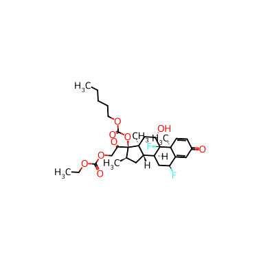 CCCCCOC(=O)O[C@]1(C(=O)COC(=O)OCC)[C@H](C)C[C@H]2[C@@H]3C[C@H](F)C4=CC(=O)C=C[C@]4(C)[C@@]3(F)[C@@H](O)C[C@@]21C